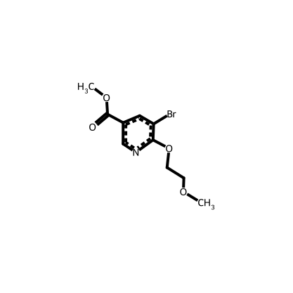 COCCOc1ncc(C(=O)OC)cc1Br